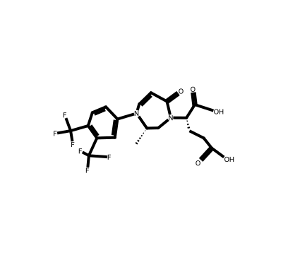 C[C@H]1CN([C@@H](CCC(=O)O)C(=O)O)C(=O)C=CN1c1ccc(C(F)(F)F)c(C(F)(F)F)c1